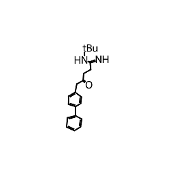 CC(C)(C)NC(=N)CCC(=O)Cc1ccc(-c2ccccc2)cc1